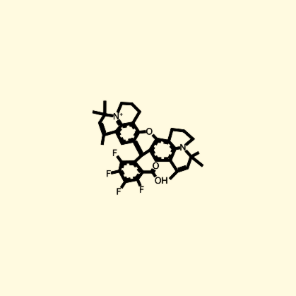 CC1=CC(C)(C)N2CCCc3c4c(cc1c32)C(c1c(F)c(F)c(F)c(F)c1C(=O)O)=c1cc2c3c(c1O4)CCC[N+]=3C(C)(C)C=C2C